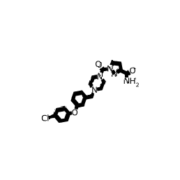 NC(=O)c1ccn(C(=O)N2CCN(Cc3cccc(Oc4ccc(Cl)cc4)c3)CC2)n1